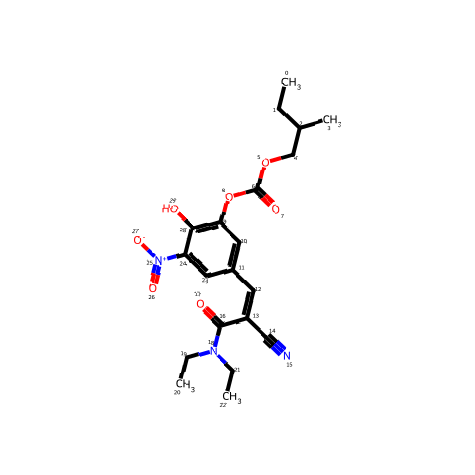 CCC(C)COC(=O)Oc1cc(C=C(C#N)C(=O)N(CC)CC)cc([N+](=O)[O-])c1O